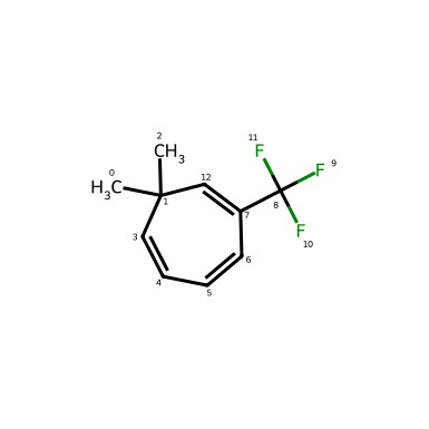 CC1(C)C=CC=CC(C(F)(F)F)=C1